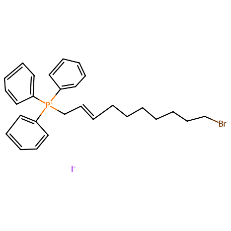 BrCCCCCCCC=CC[P+](c1ccccc1)(c1ccccc1)c1ccccc1.[I-]